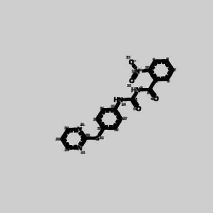 O=C(NC(=O)c1ccccc1[N+](=O)[O-])Nc1ccc(Sc2ncccn2)cc1